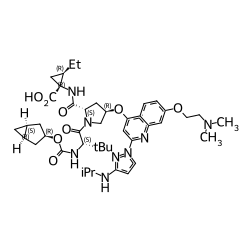 CC[C@@H]1C[C@]1(NC(=O)[C@@H]1C[C@@H](Oc2cc(-n3ccc(NC(C)C)n3)nc3cc(OCCN(C)C)ccc23)CN1C(=O)[C@@H](NC(=O)O[C@@H]1C[C@@H]2C[C@@H]2C1)C(C)(C)C)C(=O)O